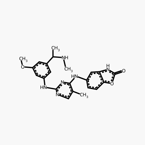 CNC(C)c1cc(Nc2ncc(C)c(Nc3ccc4oc(=O)[nH]c4c3)n2)cc(OC)c1